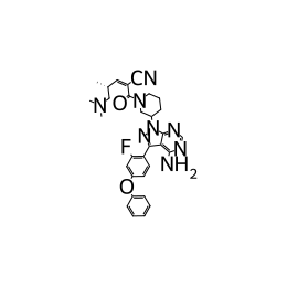 C[C@H](/C=C(/C#N)C(=O)N1CCCC(n2nc(-c3ccc(Oc4ccccc4)cc3F)c3c(N)ncnc32)C1)CN(C)C